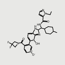 CCn1nccc1C(=O)NC(C1CCC(C)CC1)C1N=C2C(=CC=C(c3c[n+]([O-])ccc3C(=O)N3CC(F)(F)C3)N2O)N1